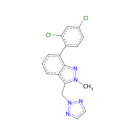 Cn1nc2c(-c3ccc(Cl)cc3Cl)cccc2c1Cn1nccn1